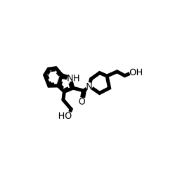 O=C(c1[nH]c2ccccc2c1CCO)N1CCC(CCO)CC1